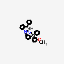 COc1cccc([Si](Cn2ccnc2BC(c2ccccc2)c2ccccc2)(c2ccccc2)c2ccccc2)c1